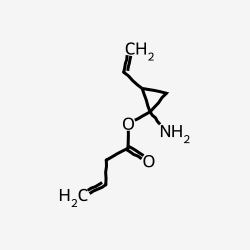 C=CCC(=O)OC1(N)CC1C=C